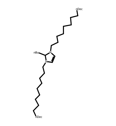 CCCCCCCCCCCCCCCCCCCN1C=CN(CCCCCCCCCCCCCCCCCC)C1CCCC